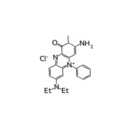 CCN(CC)c1ccc2nc3c([n+](-c4ccccc4)c2c1)C=C(N)C(C)C3=O.[Cl-]